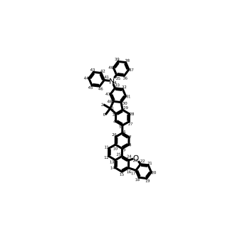 CC1(C)c2cc(-c3ccc4c(ccc5ccc6c7ccccc7oc6c54)c3)ccc2-c2ccc(N(c3ccccc3)c3ccccc3)cc21